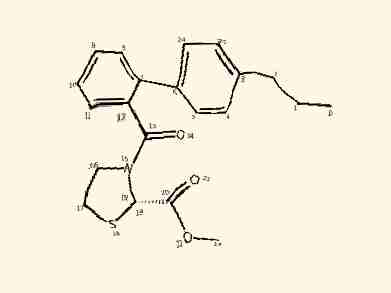 CCCc1ccc(-c2ccccc2C(=O)N2CCS[C@H]2C(=O)OC)cc1